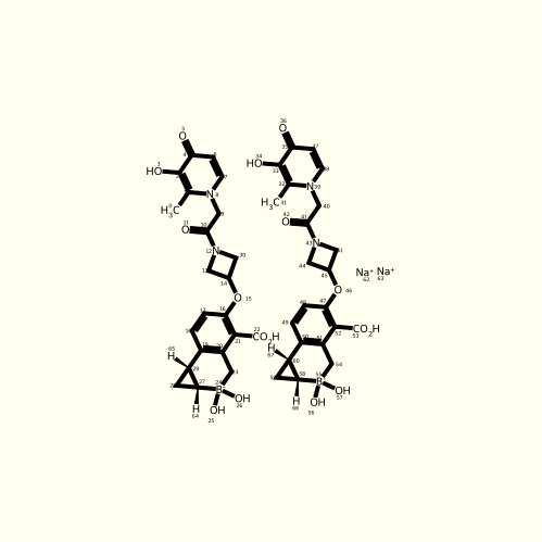 Cc1c(O)c(=O)ccn1CC(=O)N1CC(Oc2ccc3c(c2C(=O)O)C[B-](O)(O)[C@@H]2C[C@H]32)C1.Cc1c(O)c(=O)ccn1CC(=O)N1CC(Oc2ccc3c(c2C(=O)O)C[B-](O)(O)[C@@H]2C[C@H]32)C1.[Na+].[Na+]